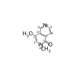 Cc1cn(C)c(=O)c2ccncc12